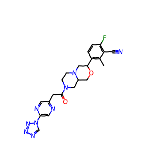 Cc1c(C2CN3CCN(C(=O)Cc4cnc(-n5cnnn5)cn4)CC3CO2)ccc(F)c1C#N